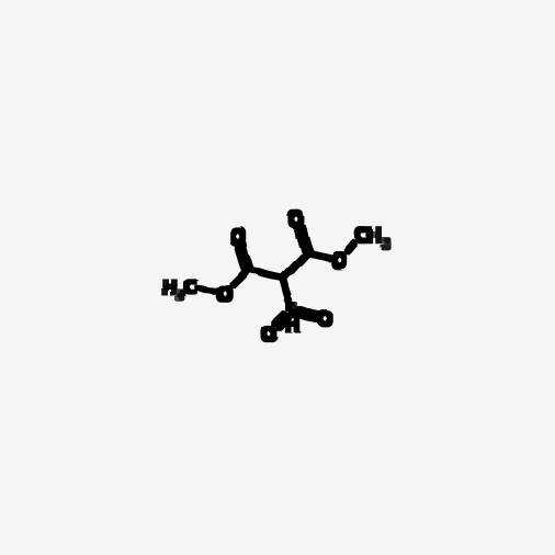 COC(=O)C(C(=O)OC)[SH](=O)=O